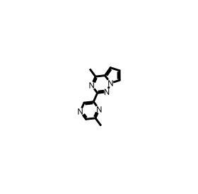 Cc1cncc(-c2nc(C)c3cccn3n2)n1